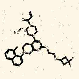 C=CC(=O)N1CCN(c2nc(OCCOC3CC(F)(F)C3)nc3c2CCN(c2cccc4cccc(C)c24)C3)C[C@@H]1CC#N